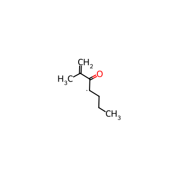 C=C(C)C(=O)[CH]CCC